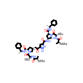 CN[C@@H](C)C(=O)N[C@H](C(=O)N1C[C@@H](CC(=O)c2cc(C(=O)N[C@H]3C[C@@H](C(=O)N[C@H](C)c4ccccc4)N(C(=O)[C@@H](NC(=O)[C@H](C)NC)C(C)(C)C)C3)n[nH]2)C[C@H]1C(=O)N[C@H](C)c1ccccc1)C(C)(C)C